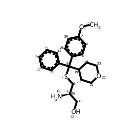 COc1ccc(C(SC[C@H](N)CO)(c2ccccc2)C2CCOCC2)cc1